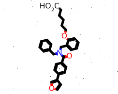 O=C(O)CCCCCOc1ccccc1CN(Cc1ccccc1)C(=O)c1ccc(-c2ccoc2)cc1